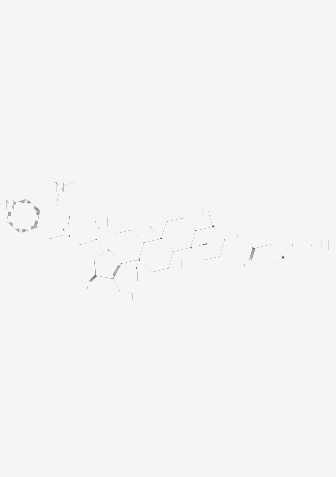 CC(C)C1=C2[C@H]3CC[C@@H]4[C@@]5(C)CC[C@@H](OC(=O)CC(C)(C)C(=O)O)C(C)(C)[C@@H]5CC[C@@]4(C)[C@]3(C)CC[C@@]2([C@@H](O)CN(CCN(C)C)Cc2ccncc2)CC1=O